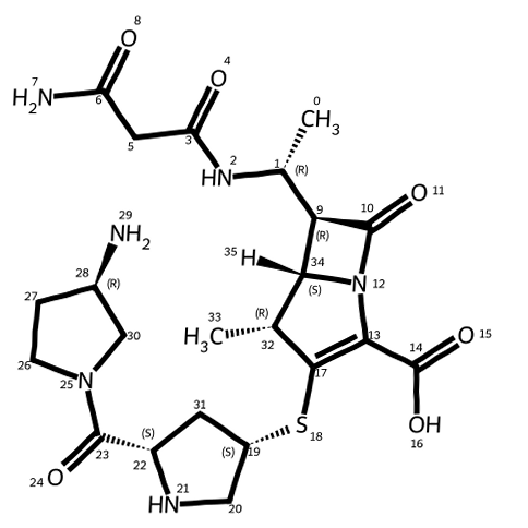 C[C@@H](NC(=O)CC(N)=O)[C@H]1C(=O)N2C(C(=O)O)=C(S[C@@H]3CN[C@H](C(=O)N4CC[C@@H](N)C4)C3)[C@H](C)[C@H]12